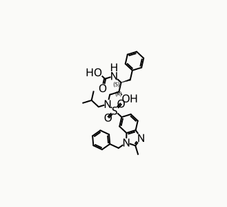 Cc1nc2ccc(S(=O)(=O)N(CC(C)C)C[C@@H](O)[C@H](Cc3ccccc3)NC(=O)O)cc2n1Cc1ccccc1